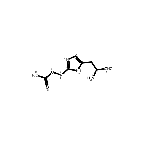 N[C@H](C=O)Cc1cnc(NOC(=O)C(F)(F)F)[nH]1